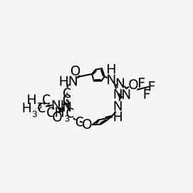 CC(C)(C)NC(=O)N1CCCNC(=O)c2ccc(cc2)Nc2nc(nc(OCC(F)(F)F)n2)NCc2ccc(cc2)OCCC1